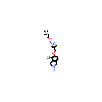 C[Si](C)(C)CCOCn1cc(COc2ccc3c(c2Cl)CCNC3)cn1